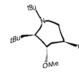 CO[C@H]1[C@H](F)CN(C(C)(C)C)[C@@H]1C(C)(C)C